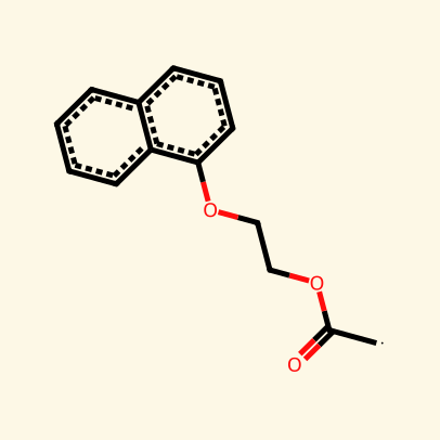 [CH2]C(=O)OCCOc1cccc2ccccc12